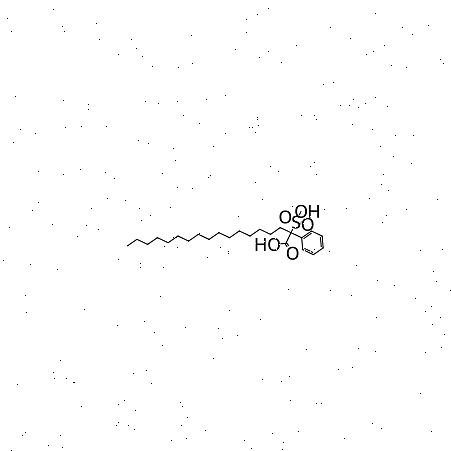 CCCCCCCCCCCCCCCCC(C(=O)O)(c1ccccc1)S(=O)(=O)O